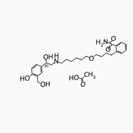 CC(=O)O.NS(=O)(=O)c1ccccc1CCCCOCCCCCCNC[C@H](O)c1ccc(O)c(CO)c1